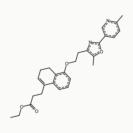 CCOC(=O)CCC1=CCCc2c(OCCc3nc(-c4ccc(C)nc4)oc3C)cccc21